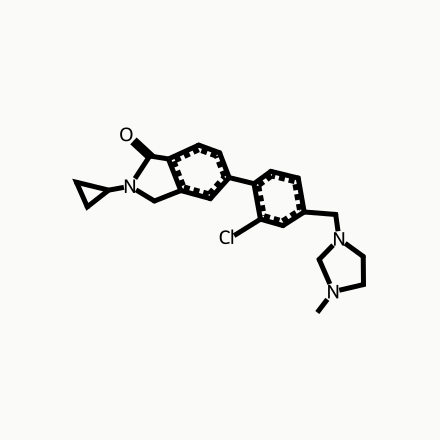 CN1CCN(Cc2ccc(-c3ccc4c(c3)CN(C3CC3)C4=O)c(Cl)c2)C1